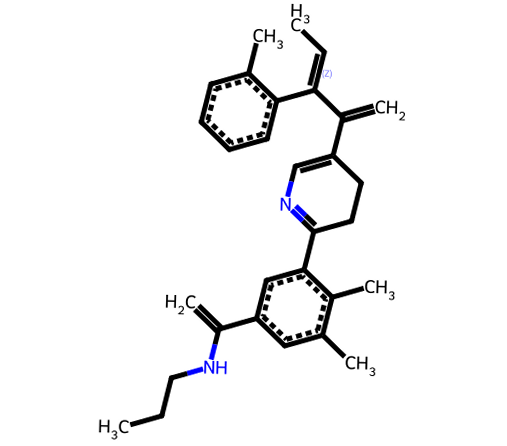 C=C(C1=CN=C(c2cc(C(=C)NCCC)cc(C)c2C)CC1)/C(=C/C)c1ccccc1C